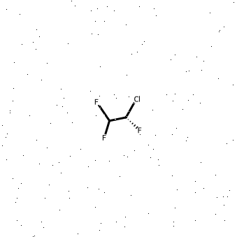 FC(F)[C@@H](F)Cl